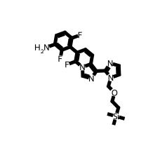 C[Si](C)(C)CCOCn1ccnc1-c1ncn2c(F)c(-c3c(F)ccc(N)c3F)ccc12